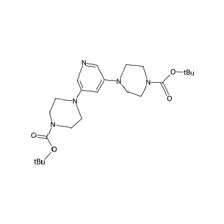 CC(C)(C)OC(=O)N1CCN(c2cncc(N3CCN(C(=O)OC(C)(C)C)CC3)c2)CC1